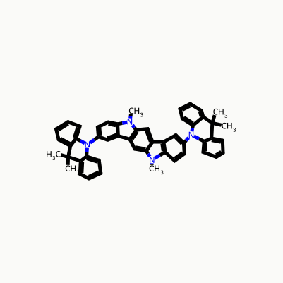 Cn1c2ccc(N3c4ccccc4C(C)(C)c4ccccc43)cc2c2cc3c(cc21)c1cc(N2c4ccccc4C(C)(C)c4ccccc42)ccc1n3C